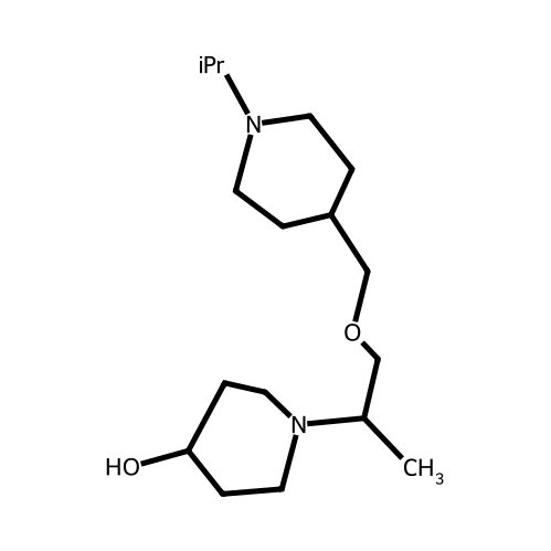 CC(C)N1CCC(COCC(C)N2CCC(O)CC2)CC1